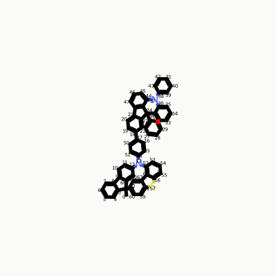 CC1(C)c2ccccc2-c2ccc(N(c3ccc(-c4ccc5c(c4)C4(c6ccccc6)c6ccccc6N(c6ccccc6)c6cccc-5c64)cc3)c3cccc4sc5ccccc5c34)cc21